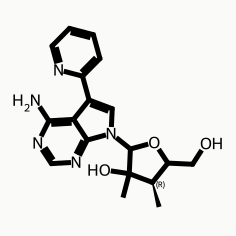 C[C@@H]1C(CO)OC(n2cc(-c3ccccn3)c3c(N)ncnc32)C1(C)O